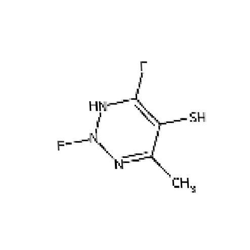 CC1=NN(F)NC(F)=C1S